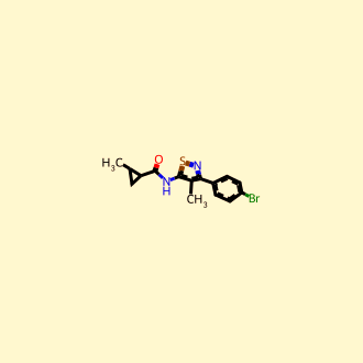 Cc1c(-c2ccc(Br)cc2)nsc1NC(=O)C1CC1C